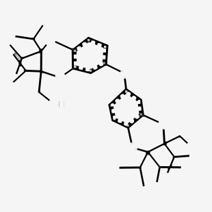 CC(C)C1(CO)Oc2cc(Sc3ccc4c(c3)OC(CO)(C(C)C)C(C(C)C)(C(C)C)O4)ccc2OC1(C(C)C)C(C)C